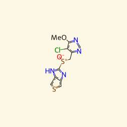 COc1ncnc(C[S+]([O-])c2nc3cscc3[nH]2)c1Cl